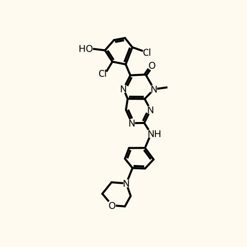 Cn1c(=O)c(-c2c(Cl)ccc(O)c2Cl)nc2cnc(Nc3ccc(N4CCOCC4)cc3)nc21